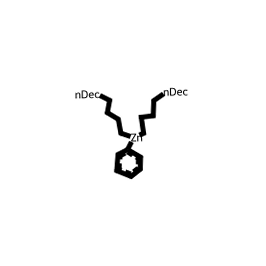 CCCCCCCCCCCCC[CH2][Zn]([CH2]CCCCCCCCCCCCC)[c]1ccccc1